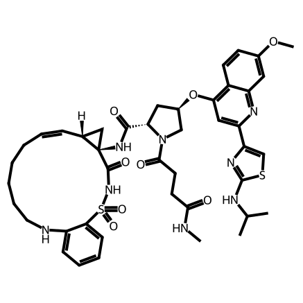 CNC(=O)CCC(=O)N1C[C@H](Oc2cc(-c3csc(NC(C)C)n3)nc3cc(OC)ccc23)C[C@H]1C(=O)N[C@]12C[C@H]1/C=C\CCCCCNc1ccccc1S(=O)(=O)NC2=O